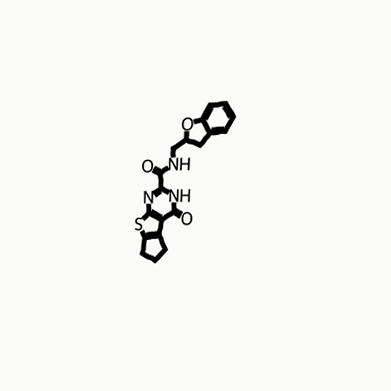 O=C(NCC1Cc2ccccc2O1)c1nc2sc3c(c2c(=O)[nH]1)CCC3